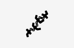 CCC(C)(C)OOC(CC)(CC)OOC(CC)(CC)OOC(C)(C)CC